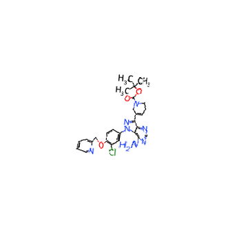 CC(C)(C)OC(=O)N1CCC=C(c2nn(-c3ccc(OCc4ccccn4)c(Cl)c3)c3c(N)ncnc23)C1